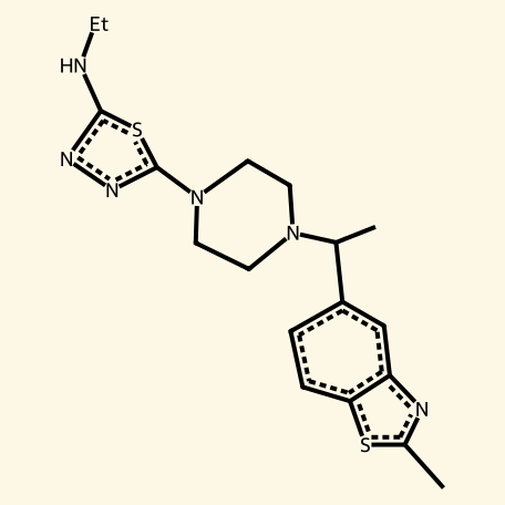 CCNc1nnc(N2CCN(C(C)c3ccc4sc(C)nc4c3)CC2)s1